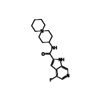 O=C(NC1CC[Si]2(CCCCC2)CC1)c1cc2c(F)cncc2[nH]1